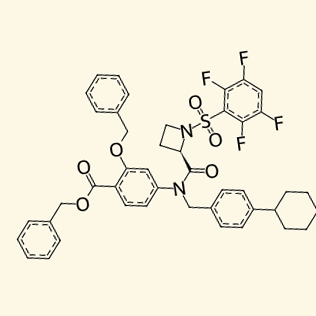 O=C(OCc1ccccc1)c1ccc(N(Cc2ccc(C3CCCCC3)cc2)C(=O)[C@H]2CCN2S(=O)(=O)c2c(F)c(F)cc(F)c2F)cc1OCc1ccccc1